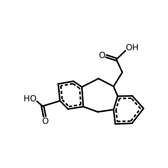 O=C(O)CC1Cc2ccc(C(=O)O)cc2Cc2ccccc21